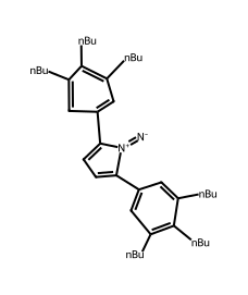 CCCCc1cc(C2=CC=C(c3cc(CCCC)c(CCCC)c(CCCC)c3)[N+]2=[N-])cc(CCCC)c1CCCC